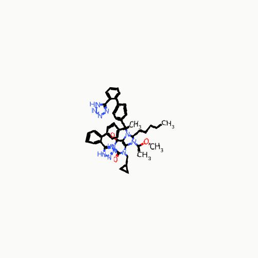 CCCCCC1N(C(C)OC)c2c(c(=O)[nH]c(=O)n2CC2CC2)N1C(C)(c1ccc(-c2ccccc2-c2nnn[nH]2)cc1)c1ccc(-c2ccccc2-c2nnn[nH]2)cc1